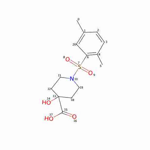 Cc1ccc(C)c(S(=O)(=O)N2CCC(O)(C(=O)O)CC2)c1